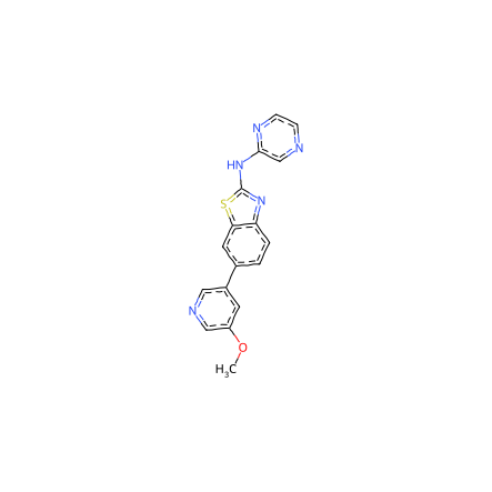 COc1cncc(-c2ccc3nc(Nc4cnccn4)sc3c2)c1